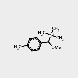 COC(c1ccc(C)cc1)[N+](C)(C)C